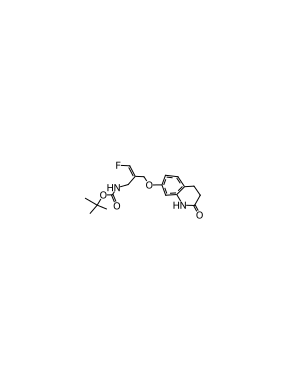 CC(C)(C)OC(=O)NC/C(=C\F)COc1ccc2c(c1)NC(=O)CC2